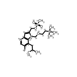 CC(C)Cc1c(F)cnc2cc(COS(C)(=O)=O)n(COCC[Si](C)(C)C)c12